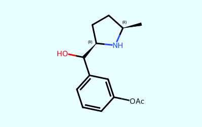 CC(=O)Oc1cccc(C(O)[C@H]2CC[C@@H](C)N2)c1